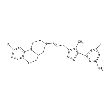 Cc1c(CC=CN2CCN3c4cc(F)ccc4OCC3C2)cnn1-c1nc(N)cc(Cl)n1